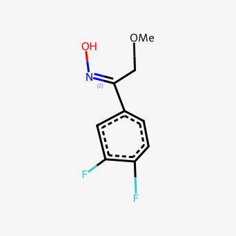 COC/C(=N\O)c1ccc(F)c(F)c1